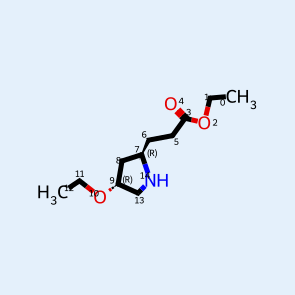 CCOC(=O)CC[C@@H]1C[C@@H](OCC)CN1